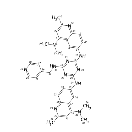 Cc1cc(N(C)C)c2cc(Nc3nc(NCc4ccncc4)nc(Nc4ccc5nc(C)cc(N(C)C)c5c4)n3)ccc2n1